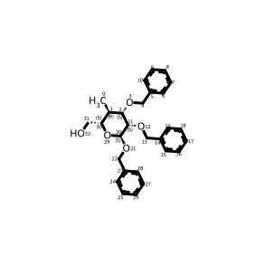 C[C@H]1[C@H](OCc2ccccc2)[C@H](OCc2ccccc2)[C@@H](OCc2ccccc2)O[C@@H]1CO